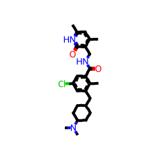 Cc1cc(C)c(CNC(=O)c2cc(Cl)cc(CC3CCC(N(C)C)CC3)c2C)c(=O)[nH]1